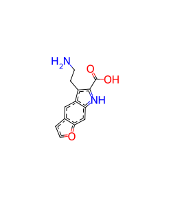 NCCc1c(C(=O)O)[nH]c2cc3occc3cc12